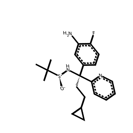 CC(C)(C)[S@+]([O-])N[C@@](CCC1CC1)(c1ccc(F)c(N)c1)c1ccccn1